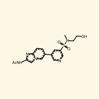 CC(=O)Nc1cn2cc(-c3cncc(S(=O)(=O)N(C)CCO)c3)ccc2n1